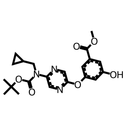 COC(=O)c1cc(O)cc(Oc2cnc(N(CC3CC3)C(=O)OC(C)(C)C)cn2)c1